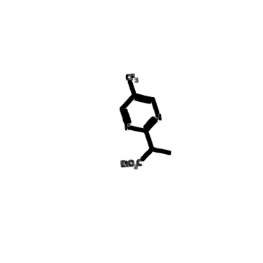 CCOC(=O)C(C)c1ncc(C(F)(F)F)cn1